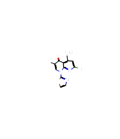 CNc1cc(Cl)nc2c1c(=O)c(C(=O)O)cn2-c1nccs1